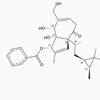 CC1=C[C@]2([C@H](C)C[C@@H]3[C@H](C)C3(C)C)C(=O)CC=C(CO)[C@@H](O)[C@]2(O)[C@H]1OC(=O)c1ccccc1